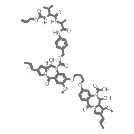 C=CCOC(=O)NC(C(=O)NC(C)C(=O)Nc1ccc(COC(=O)N2c3cc(OCCCOc4ccc5c(c4)N(C(=O)O)C(O)C4C(OC)C(/C=C/C)=CN4C5=O)c(OC)cc3C(=O)N3C=C(/C=C/C)C[C@H]3[C@@H]2O)cc1)C(C)C